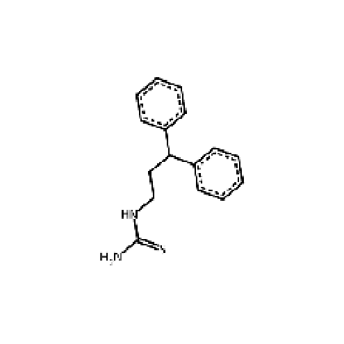 NC(=S)NCCC(c1ccccc1)c1ccccc1